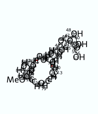 C=C1[C@H](C)C[C@@H]2CC[C@@H]3O[C@@H](CC[C@]45C[C@@H](OC)[C@@H](O4)[C@H]4C[C@@H](O5)[C@H]5O[C@H](CC[C@@H]5O4)CC(=O)O[C@@H]4[C@@H](C)[C@@H]5O[C@@H]6C[C@]7(CC8O[C@H](C[C@H](C)C9O[C@H](CC(=O)CCO)[C@H](O)C[C@@H]9O)C[C@H](C)[C@@H]8O7)O[C@@H]6C[C@@H]5O[C@H]4C[C@H]1O2)C[C@H]3C